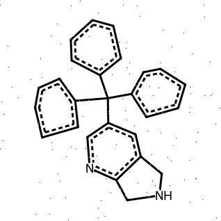 c1ccc(C(c2ccccc2)(c2ccccc2)c2cnc3c(c2)CNC3)cc1